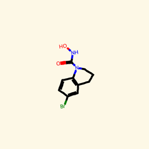 O=C(NO)N1CCCc2cc(Br)ccc21